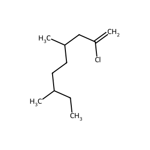 C=C(Cl)CC(C)CCC(C)CC